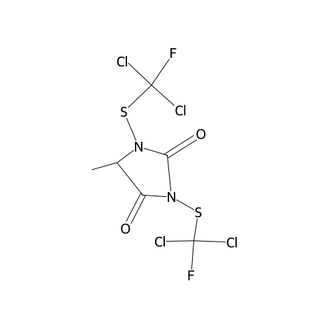 CC1C(=O)N(SC(F)(Cl)Cl)C(=O)N1SC(F)(Cl)Cl